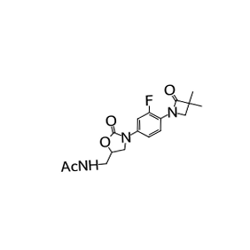 CC(=O)NCC1CN(c2ccc(N3CC(C)(C)C3=O)c(F)c2)C(=O)O1